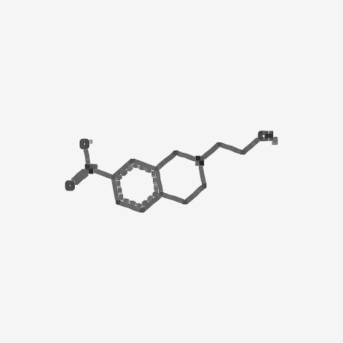 CCCN1CCc2ccc([N+](=O)[O-])cc2C1